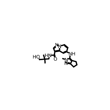 Cn1nc2c(c1Nc1ccn3ncc(C(=O)NCC(C)(C)CO)c3c1)CCC2